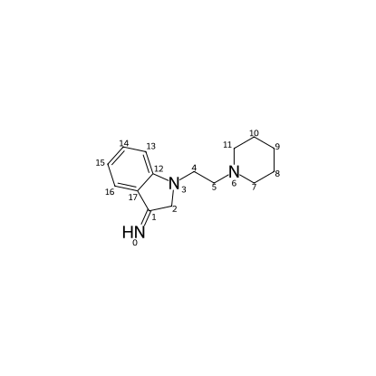 N=C1CN(CCN2CCCCC2)c2ccccc21